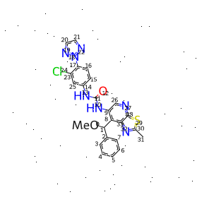 COC(c1ccccc1)c1c(NC(=O)Nc2ccc(-n3nccn3)c(Cl)c2)cnc2sc(C)nc12